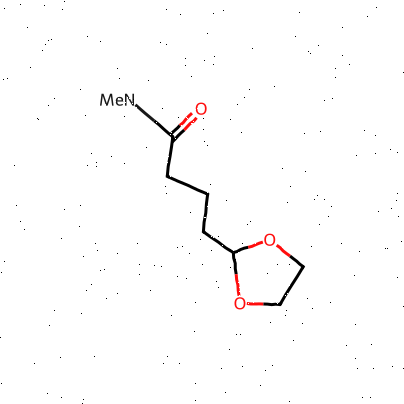 CNC(=O)CCCC1OCCO1